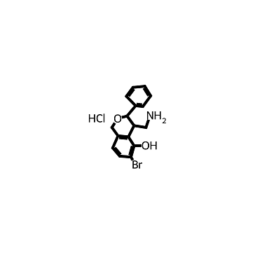 Cl.NCC1c2c(ccc(Br)c2O)COC1c1ccccc1